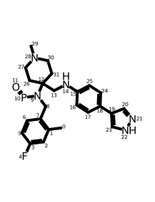 Cc1cc(F)ccc1CN(P=O)C1(CNc2ccc(-c3cn[nH]c3)cc2)CCN(C)CC1